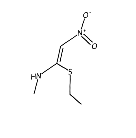 CCS/C(=C\[N+](=O)[O-])NC